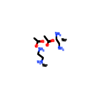 CC(=O)[O-].CC(=O)[O-].NCCN.NCCN.[Na+].[Na+]